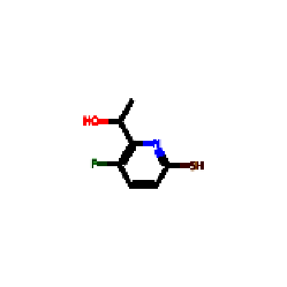 CC(O)c1nc(S)ccc1F